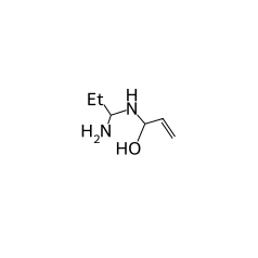 C=CC(O)NC(N)CC